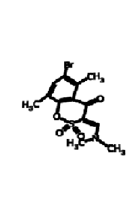 Cc1cc(Br)c(C)c2c1OS(=O)(=O)C(=CN(C)C)C2=O